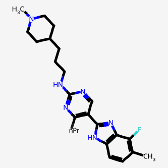 CCCc1nc(NCCCC2CCN(C)CC2)ncc1-c1nc2c(F)c(C)ccc2[nH]1